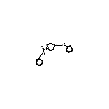 O=C(OCc1ccccc1)N1CCN(CCOc2ccccc2)CC1